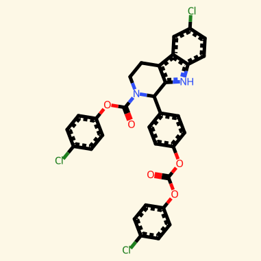 O=C(Oc1ccc(Cl)cc1)Oc1ccc(C2c3[nH]c4ccc(Cl)cc4c3CCN2C(=O)Oc2ccc(Cl)cc2)cc1